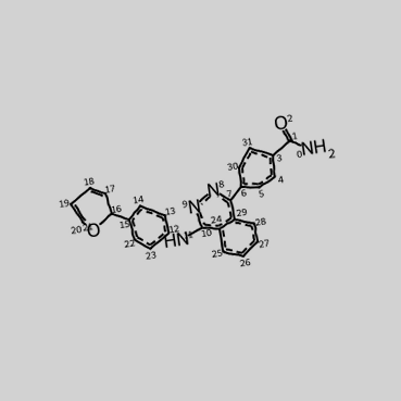 NC(=O)c1ccc(-c2nnc(Nc3ccc(C4C=CC=CO4)cc3)c3ccccc23)cc1